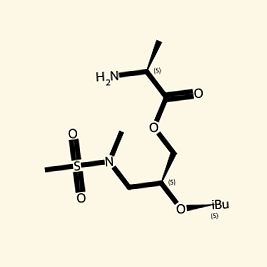 CC[C@H](C)O[C@H](COC(=O)[C@H](C)N)CN(C)S(C)(=O)=O